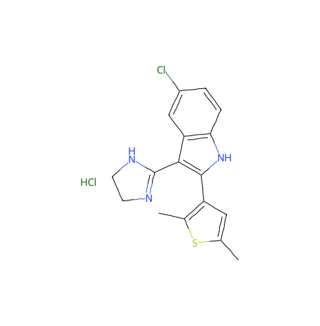 Cc1cc(-c2[nH]c3ccc(Cl)cc3c2C2=NCCN2)c(C)s1.Cl